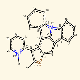 Cc1sc2cc3c4ccccc4n4c5ccccc5c(c2c1-c1cccc[n+]1C)c34